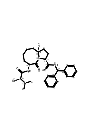 CC[C@@H](C(=O)N[C@H]1CCCC[C@H]2CC[C@@H](C(=O)NC(c3ccccc3)c3ccccc3)N2C1=O)N(C)C